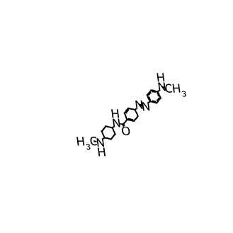 CNc1ccc(/N=N/C2C=CC(C(=O)NC3CCC(NC)CC3)=CC2)cc1